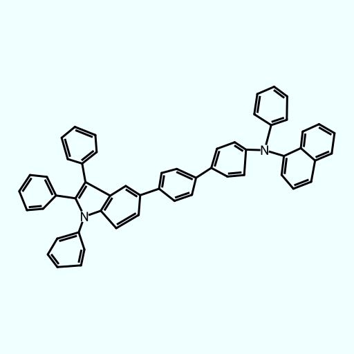 c1ccc(-c2c(-c3ccccc3)n(-c3ccccc3)c3ccc(-c4ccc(-c5ccc(N(c6ccccc6)c6cccc7ccccc67)cc5)cc4)cc23)cc1